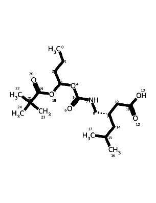 CCCC(OC(=O)NC[C@H](CC(=O)O)CC(C)C)OC(=O)C(C)(C)C